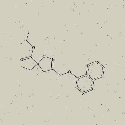 CCOC(=O)C1(CC)CC(COc2cccc3ccccc23)=NO1